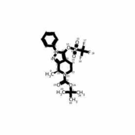 C[C@H]1c2nn(-c3ccccc3)c(OS(=O)(=O)C(F)(F)F)c2CCN1C(=O)OC(C)(C)C